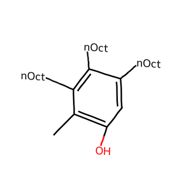 CCCCCCCCc1cc(O)c(C)c(CCCCCCCC)c1CCCCCCCC